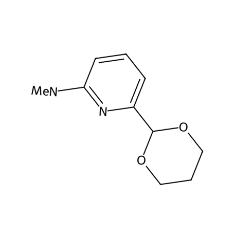 CNc1cccc(C2OCCCO2)n1